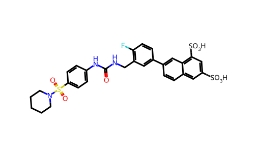 O=C(NCc1cc(-c2ccc3cc(S(=O)(=O)O)cc(S(=O)(=O)O)c3c2)ccc1F)Nc1ccc(S(=O)(=O)N2CCCCC2)cc1